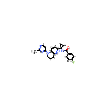 Cc1nccc(N2CCCc3nc(C4(NC(=O)c5ccc(F)cc5)CC4)ccc32)n1